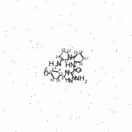 COc1ccc(-c2cnc(N)c(C(=O)Nc3ccccc3N3CCCC(N)C3)n2)cc1